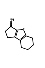 N=C1CCc2c1sc1c2CCCC1